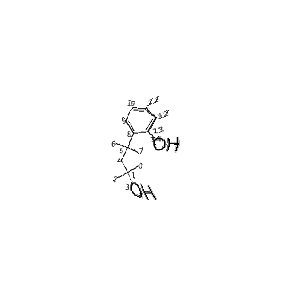 CC(C)(O)CC(C)(C)c1ccccc1O